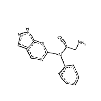 NCC(=O)N(c1ccccc1)c1ncc2cn[nH]c2n1